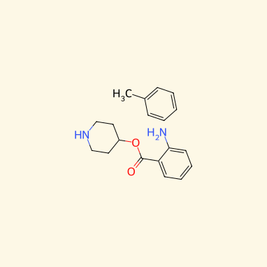 Cc1ccccc1.Nc1ccccc1C(=O)OC1CCNCC1